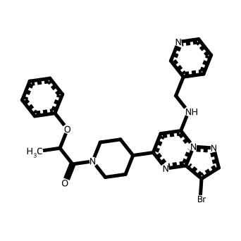 CC(Oc1ccccc1)C(=O)N1CCC(c2cc(NCc3cccnc3)n3ncc(Br)c3n2)CC1